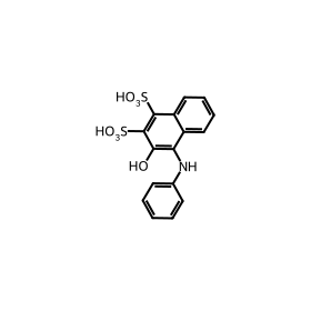 O=S(=O)(O)c1c(O)c(Nc2ccccc2)c2ccccc2c1S(=O)(=O)O